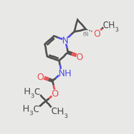 CO[C@H]1CC1n1cccc(NC(=O)OC(C)(C)C)c1=O